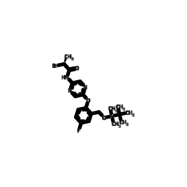 C[C@@H](Br)C(=O)Nc1cnc(Oc2ccc(F)cc2CO[Si](C)(C)C(C)(C)C)cn1